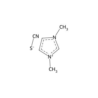 Cn1cc[n+](C)c1.N#C[S-]